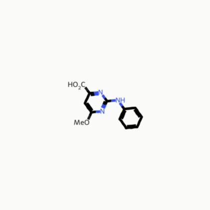 COc1cc(C(=O)O)nc(Nc2ccccc2)n1